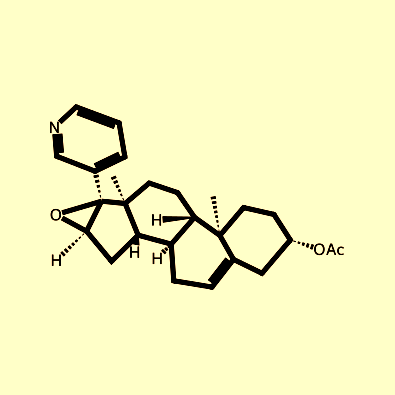 CC(=O)O[C@H]1CC[C@@]2(C)C(=CC[C@@H]3[C@@H]2CC[C@@]2(C)[C@H]3C[C@H]3O[C@]32c2cccnc2)C1